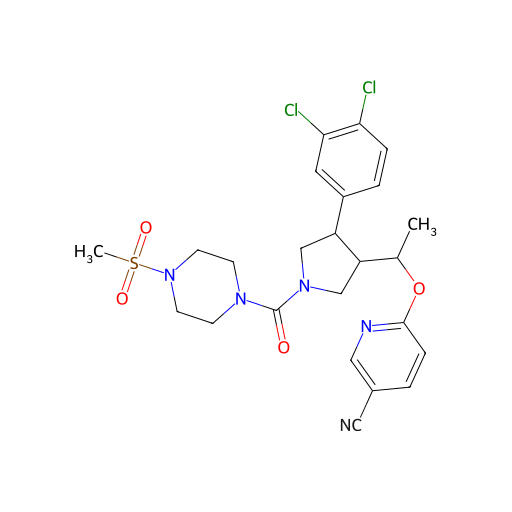 CC(Oc1ccc(C#N)cn1)C1CN(C(=O)N2CCN(S(C)(=O)=O)CC2)CC1c1ccc(Cl)c(Cl)c1